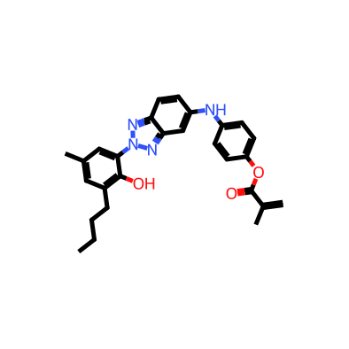 C=C(C)C(=O)Oc1ccc(Nc2ccc3nn(-c4cc(C)cc(CCCC)c4O)nc3c2)cc1